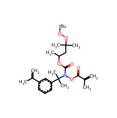 C=C(C)C(=O)ON(C(=O)OC(C)CC(C)(C)OOC(C)(C)C)C(C)(C)c1cccc(C(=C)C)c1